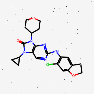 O=c1n(C2CC2)c2cnc(Nc3cc4c(cc3Cl)OCC4)nc2n1C1CCOCC1